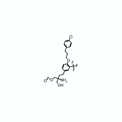 NC(CO)(CCc1ccc(OCCCc2ccc(Cl)cc2)c(C(F)(F)F)c1)COP=O